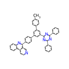 Cc1ccc(-c2cc(-c3ccc(-c4nc5ccccc5c5ccncc45)cc3)cc(-c3nc(-c4ccccc4)nc(-c4ccccc4)n3)c2)cc1